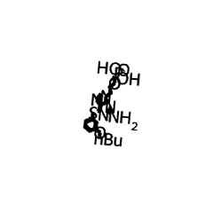 CCCCOc1cccc(Sc2nc(N)nc3c2ncn3CCOCP(=O)(O)O)c1